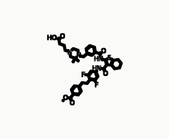 COC(=O)c1ccc(CCc2c(F)cc(NC(=O)c3c(NC(=O)c4cccc(CN5CCN(CCCC(=O)O)CC5(C)C)c4)sc4c3CCCC4)cc2F)cc1